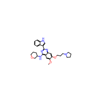 COc1cc2c(NC3CCCOC3)nc(-c3c[nH]c4ccccc34)nc2cc1OCCCN1CCCC1